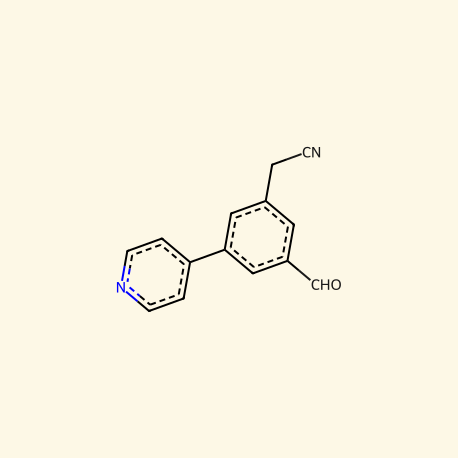 N#CCc1cc(C=O)cc(-c2ccncc2)c1